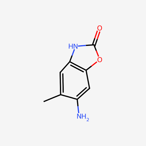 Cc1cc2[nH]c(=O)oc2cc1N